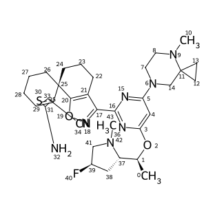 C[C@H](Oc1cc(N2CCN(C)C3(CC3)C2)nc(-c2noc3c2CCC[C@@]32CCCc3sc(N)c(C#N)c32)n1)[C@@H]1C[C@@H](F)CN1C